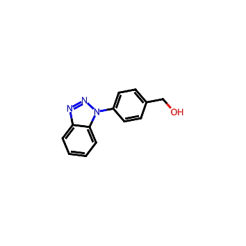 OCc1ccc(-n2nnc3ccccc32)cc1